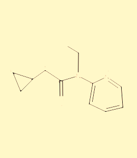 CCN(C(=O)CC1CC1)c1ccccn1